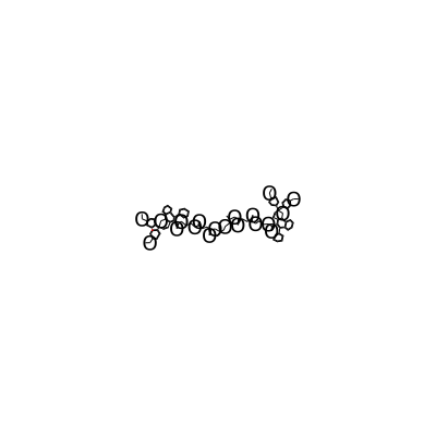 COc1ccc(C2(c3ccc(OC)cc3)C=Cc3c(C(=O)OCCOC(=O)CCC(=O)OC(C)COCC(C)OC(=O)CCC(=O)OCCOC(=O)c4c5c(c6ccccc6c4-c4ccccc4)OC(c4ccc(OC)cc4)(c4ccc(OC)cc4)C=C5)c(-c4ccccc4)c4ccccc4c3O2)cc1